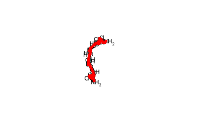 N[C@@H]1CCCC([C@H]2Cc3c(Cl)cc(Cl)cc3[C@@H]2Oc2ccc(S(=O)(=O)NCCOCCOCCn3cc(CNC(=O)NCCCCNC(=O)NCc4cn(CCOCCOCCNS(=O)(=O)c5ccc(O[C@H]6c7cc(Cl)cc(Cl)c7C[C@@H]6N6CCC[C@@H](N)C6)cc5)nn4)nn3)cc2)C1